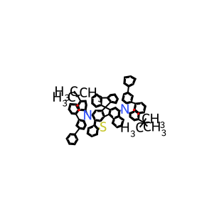 CC(C)(C)c1ccc(N(c2ccc(-c3ccccc3)cc2-c2ccccc2)c2cc3c(c4ccccc24)-c2c(cc(N(c4ccc(C(C)(C)C)cc4)c4ccc(-c5ccccc5)cc4-c4ccccc4)c4c2sc2ccccc24)C32c3ccccc3-c3ccccc32)cc1